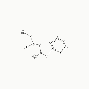 CN(Cc1ccccc1)CC(F)CO